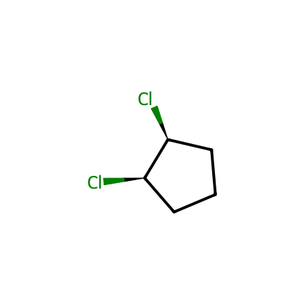 Cl[C@@H]1CCC[C@@H]1Cl